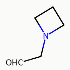 O=CCN1C[CH]C1